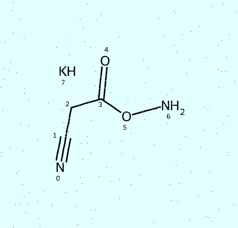 N#CCC(=O)ON.[KH]